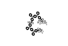 CC(C)(C)NC(=O)c1ccc(N(c2ccccc2)c2ccc(N(c3ccccc3)c3ccc(C(=O)Nc4ccc(N(c5ccccc5)c5ccc(N(c6ccccc6)c6ccc(C(C)(C)C)cc6)cc5)cc4)cc3)cc2)cc1